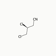 N#CC[C@H](Cl)CCl